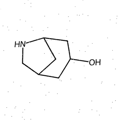 OC1CC2CNC(C1)C2